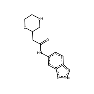 O=C(CC1CNCCO1)Nc1ccc2c[nH]nc2c1